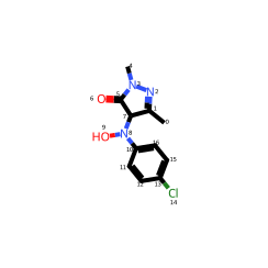 CC1=NN(C)C(=O)C1N(O)c1ccc(Cl)cc1